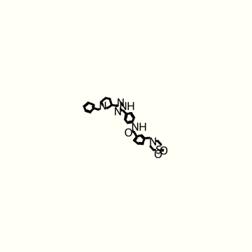 O=C(Nc1ccc(-c2nc(C3CCCN(Cc4ccccc4)C3)n[nH]2)cc1)c1cccc(CN2CCS(=O)(=O)CC2)c1